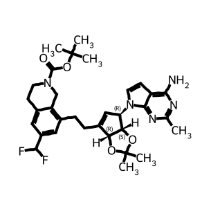 Cc1nc(N)c2ccn([C@@H]3C=C(CCc4cc(C(F)F)cc5c4CN(C(=O)OC(C)(C)C)CC5)[C@H]4OC(C)(C)O[C@H]43)c2n1